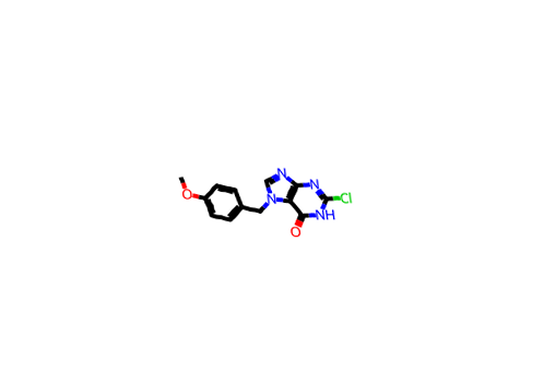 COc1ccc(Cn2cnc3nc(Cl)[nH]c(=O)c32)cc1